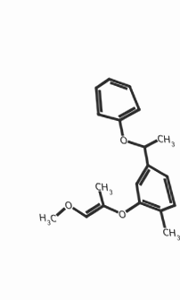 CO/C=C(\C)Oc1cc(C(C)Oc2ccccc2)ccc1C